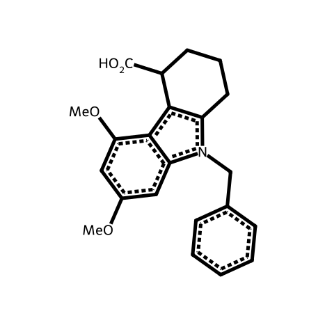 COc1cc(OC)c2c3c(n(Cc4ccccc4)c2c1)CCCC3C(=O)O